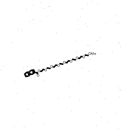 COCCOCCOCCOCCOCCOCCOCCOCCOC(=O)C1CC2CC1C1C3C=CC(C3)C21